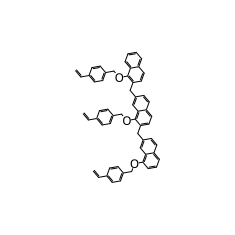 C=Cc1ccc(COc2cccc3ccc(Cc4ccc5ccc(Cc6ccc7ccccc7c6OCc6ccc(C=C)cc6)cc5c4OCc4ccc(C=C)cc4)cc23)cc1